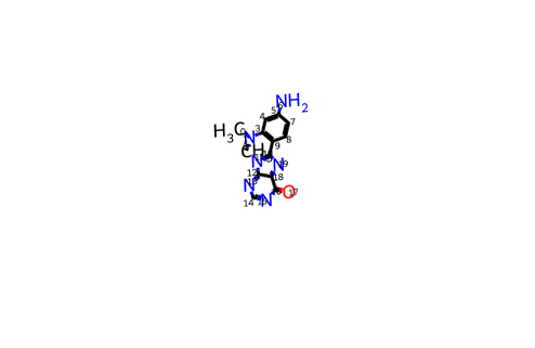 CN(C)c1cc(N)ccc1C1=NC2=NC=NC(=O)C2=N1